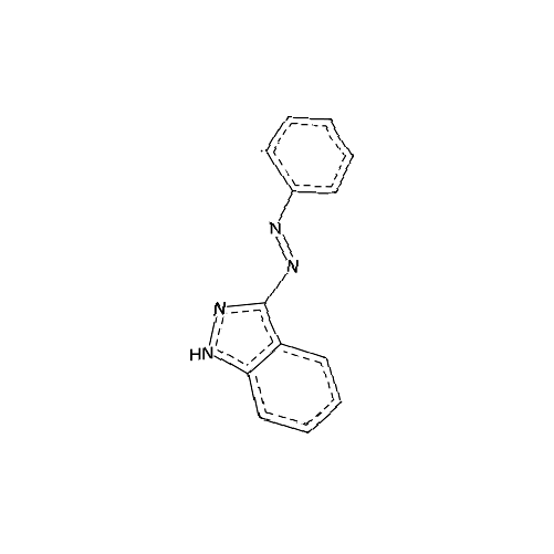 [c]1ccccc1N=Nc1n[nH]c2ccccc12